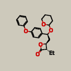 CC[C@@H]1C(=O)O[C@H]1C[C@H](OC1CCCCO1)c1ccc(Oc2ccccc2)cc1